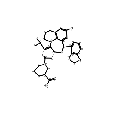 CC(C)(C)[C@@H]1CCc2cc(Cl)cc3c2N1C(=O)[C@@H](CC(=O)N1CCCC(C(=O)O)C1)O[C@@H]3c1cccc2c1OCO2